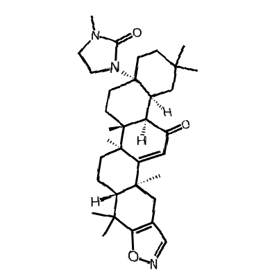 CN1CCN([C@]23CCC(C)(C)C[C@H]2[C@H]2C(=O)C=C4[C@@]5(C)Cc6cnoc6C(C)(C)[C@@H]5CC[C@@]4(C)[C@]2(C)CC3)C1=O